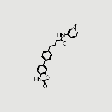 C=N/C=C(\C=C/C)NC(=O)CCCc1ccc(-c2ccc3[nH]c(=O)oc3c2)cc1